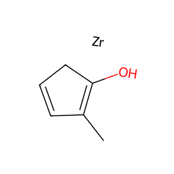 CC1=C(O)CC=C1.[Zr]